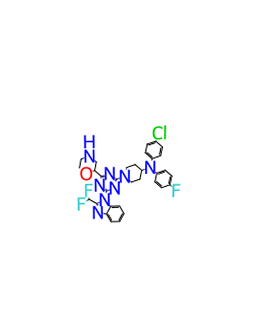 Fc1ccc(N(c2ccc(Cl)cc2)C2CCN(c3nc(C4CNCCO4)nc(-n4c(C(F)F)nc5ccccc54)n3)CC2)cc1